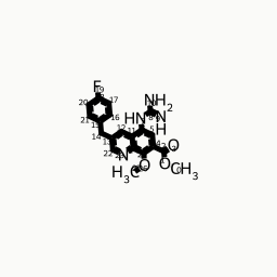 COC(=O)c1cc(NC(=N)N)c2cc(Cc3ccc(F)cc3)cnc2c1OC